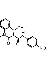 Cn1c(=O)c(C(=O)Nc2ccc([N+](=O)[O-])cc2)c(O)c2ccccc21